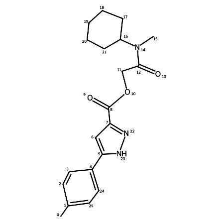 Cc1ccc(-c2cc(C(=O)OCC(=O)N(C)C3CCCCC3)n[nH]2)cc1